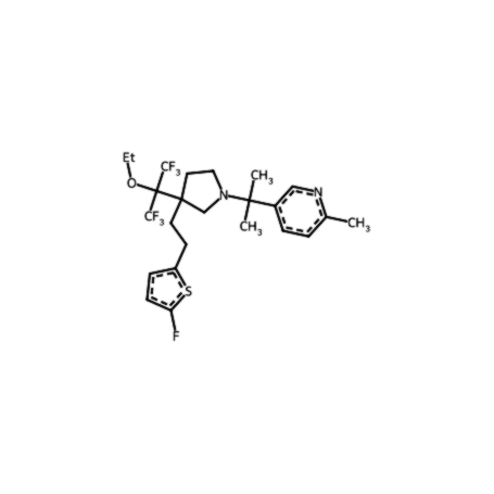 CCOC(C(F)(F)F)(C(F)(F)F)C1(CCc2ccc(F)s2)CCN(C(C)(C)c2ccc(C)nc2)C1